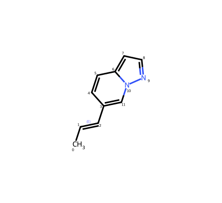 C/C=C/c1ccc2ccnn2c1